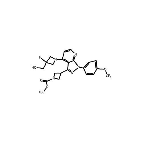 CC(C)(C)OC(=O)N1CC(c2nn(-c3ccc(OC(F)(F)F)cc3)c3nccc(N4CC(F)(CO)C4)c23)C1